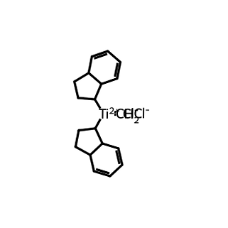 [CH2]=[Ti+2]([CH]1CCC2C=CC=CC21)[CH]1CCC2C=CC=CC21.[Cl-].[Cl-]